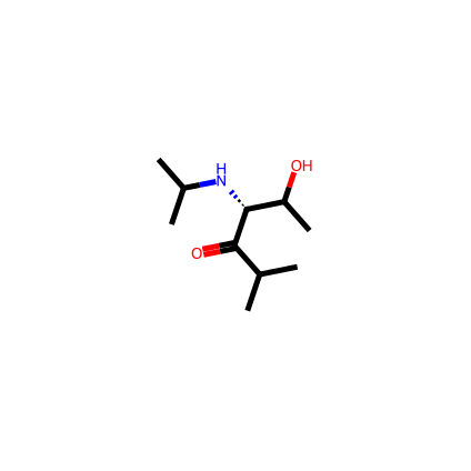 CC(C)N[C@@H](C(=O)C(C)C)C(C)O